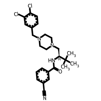 CC(C)(C)[C@H](CN1CCN(Cc2ccc(Cl)c(Cl)c2)CC1)NC(=O)c1cccc(C#N)c1